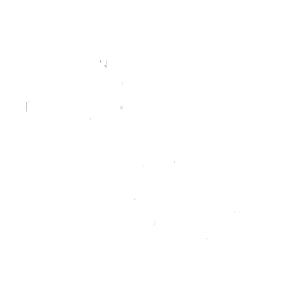 Cc1cc2cc(OCc3cncc(C(F)(F)F)c3)ccc2o1